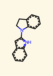 c1ccc2c(c1)CCN2c1cc2ccccc2[nH]1